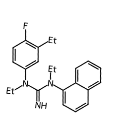 CCc1cc(N(CC)C(=N)N(CC)c2cccc3ccccc23)ccc1F